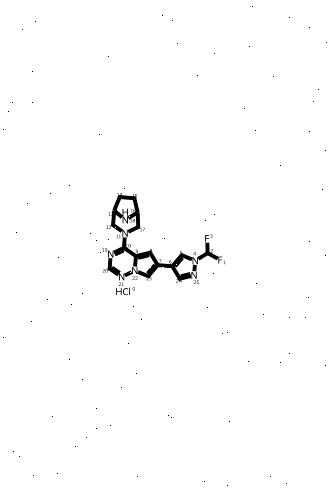 Cl.FC(F)n1cc(-c2cc3c(N4CC5CCC(C4)N5)ncnn3c2)cn1